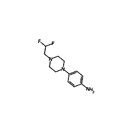 Nc1ccc(N2CCN(CC(F)F)CC2)cc1